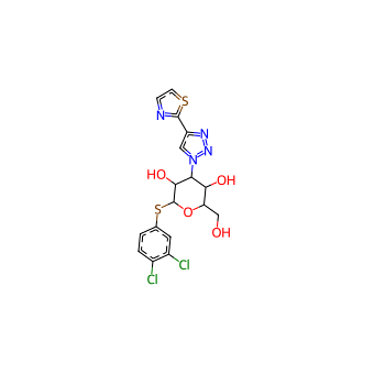 OCC1OC(Sc2ccc(Cl)c(Cl)c2)C(O)C(n2cc(-c3nccs3)nn2)C1O